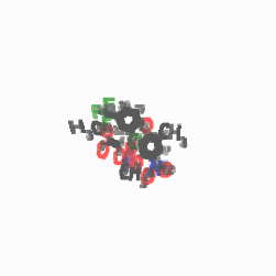 COC(=O)COP(C)(=O)Oc1cc(Oc2ccc(C(F)(F)F)cc2Cl)c(C)cc1[N+](=O)[O-]